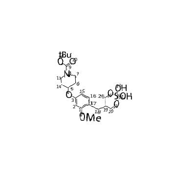 COc1cc(OC2CCN(C(=O)OC(C)(C)C)CC2)ccc1CC1COS(O)(O)OC1